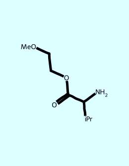 COCCOC(=O)C(N)C(C)C